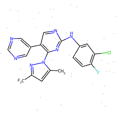 Cc1cc(C(F)(F)F)nn1-c1nc(Nc2ccc(F)c(Cl)c2)ncc1-c1cncnc1